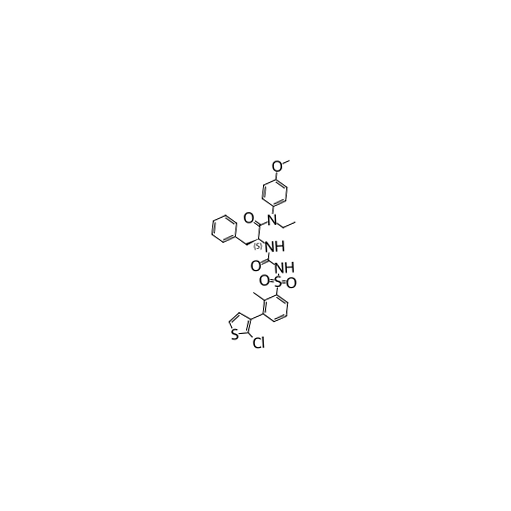 CCN(C(=O)[C@H](Cc1ccccc1)NC(=O)NS(=O)(=O)c1cccc(-c2ccsc2Cl)c1C)c1ccc(OC)cc1